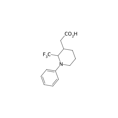 O=C(O)CC1CCCN(c2ccccc2)C1C(F)(F)F